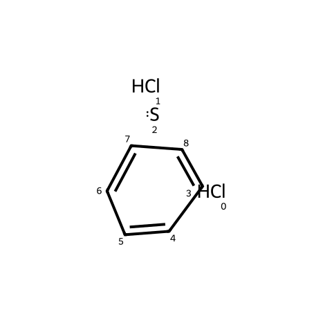 Cl.Cl.[S].c1ccccc1